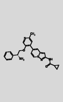 Cc1cc(-c2ccn3nc(NC(=O)C4CC4)cc3c2)c(OC[C@H](N)c2ccccc2)cn1